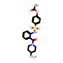 CC(C)(C)C(=O)Oc1ccc(S(=O)(=O)Nc2ccccc2C(=O)N2CCC(C(=O)O)CC2)cc1